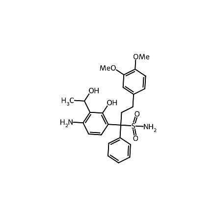 COc1ccc(CCC(c2ccccc2)(c2ccc(N)c(C(C)O)c2O)S(N)(=O)=O)cc1OC